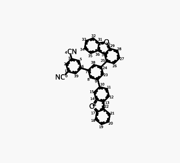 N#Cc1cc(C#N)cc(-c2cc(-c3ccc4c(c3)oc3ccccc34)cc(-c3cccc4oc5ccccc5c34)c2)c1